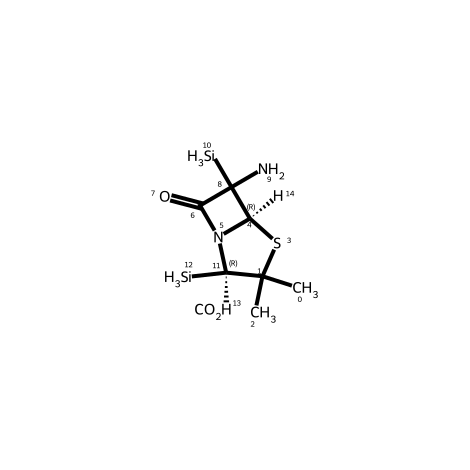 CC1(C)S[C@H]2N(C(=O)C2(N)[SiH3])[C@@]1([SiH3])C(=O)O